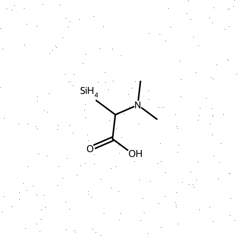 CC(C(=O)O)N(C)C.[SiH4]